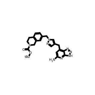 CC(C)(C)OC(=O)N1CCc2ccc(Cn3cc(Cc4cc(N)nc5[nH]nnc45)cn3)cc2C1